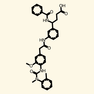 COc1cc(CC(=O)Nc2cccc(C(CCC(=O)O)NC(=O)c3ccccc3)c2)ccc1NC(=O)N(C)c1ccccc1C